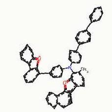 Cc1ccc2c(oc3c4ccccc4ccc23)c1N(c1ccc(-c2ccc(-c3ccccc3)cc2)cc1)c1ccc(-c2cccc3c2oc2ccccc23)cc1